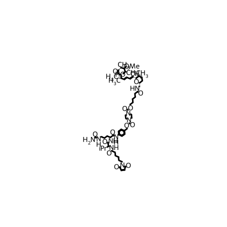 COC(C(C)O)C(C)[C@H]1O[C@]1(C)CC(C)/C=C/C=C(\C)[C@H]1O[C@@H](CNC(=O)CCCCCOC(=O)N2CCN(C(=O)OCc3ccc(NC(=O)C(CCCNC(N)=O)NC(=O)C(NC(=O)CCCCCN4C(=O)C=CC4=O)C(C)C)cc3)CC2)CC[C@@H]1C